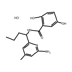 CCCC(NC(=O)c1cc(O)ccc1O)c1cc(C)cc(N)n1.Cl